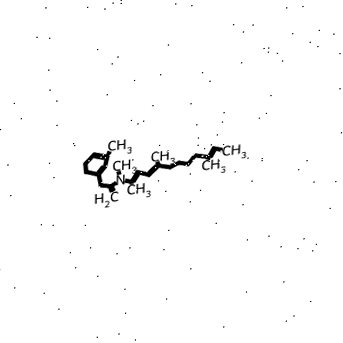 C=C(CC1=CC(C)=CCC1)N(C)/C(C)=C/C=C(\C)CCCC/C(C)=C/C